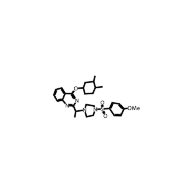 COc1ccc(S(=O)(=O)N2CCN(C(C)c3nc(OC4CCC(C)C(C)C4)c4ccccc4n3)CC2)cc1